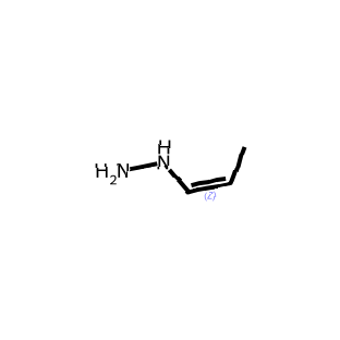 C/C=C\NN